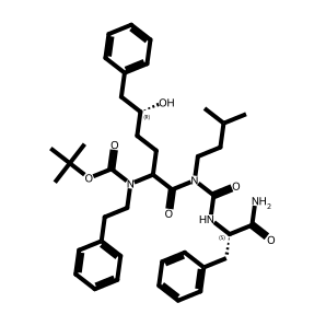 CC(C)CCN(C(=O)N[C@@H](Cc1ccccc1)C(N)=O)C(=O)C(CC[C@@H](O)Cc1ccccc1)N(CCc1ccccc1)C(=O)OC(C)(C)C